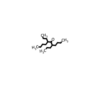 CCCCC(CCC)C(=O)C(CCC)CCCC